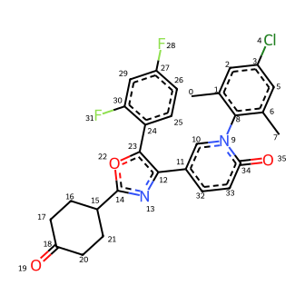 Cc1cc(Cl)cc(C)c1-n1cc(-c2nc(C3CCC(=O)CC3)oc2-c2ccc(F)cc2F)ccc1=O